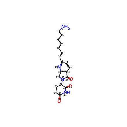 NCCCCCCCc1ccc2c(n1)CN(C1CCC(=O)NC1=O)C2=O